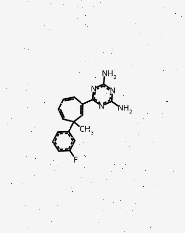 CC1(c2cccc(F)c2)C=CC=CC(c2nc(N)nc(N)n2)=C1